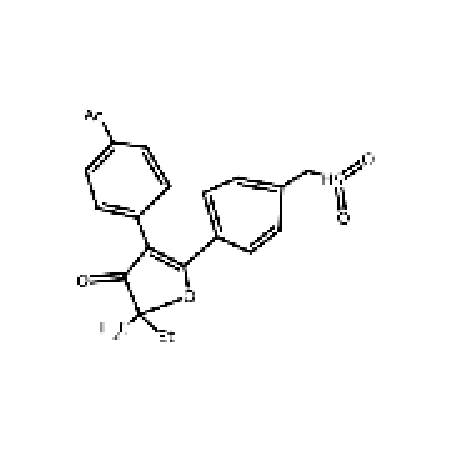 CCC1(C)OC(c2ccc(C[SH](=O)=O)cc2)=C(c2ccc(C(C)=O)cc2)C1=O